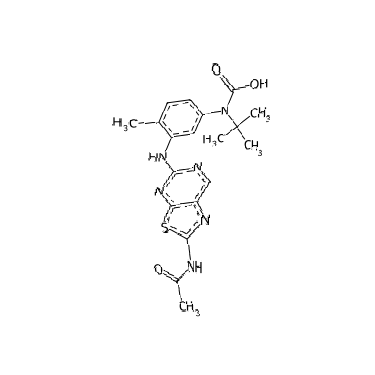 CC(=O)Nc1nc2cnc(Nc3cc(N(C(=O)O)C(C)(C)C)ccc3C)nc2s1